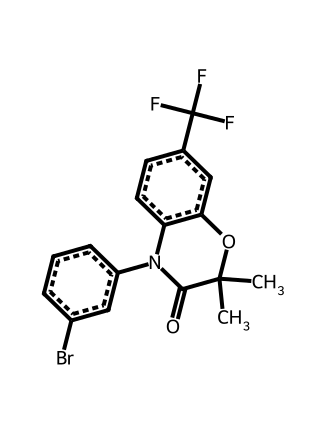 CC1(C)Oc2cc(C(F)(F)F)ccc2N(c2cccc(Br)c2)C1=O